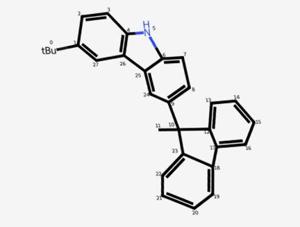 CC(C)(C)c1ccc2[nH]c3ccc(C4(C)c5ccccc5-c5ccccc54)cc3c2c1